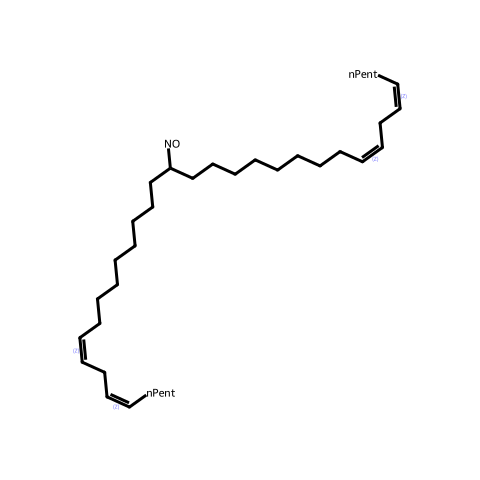 CCCCC/C=C\C/C=C\CCCCCCCCC(CCCCCCCC/C=C\C/C=C\CCCCC)N=O